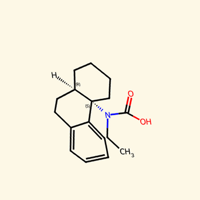 CCN(C(=O)O)[C@@]12CCCC[C@@H]1CCc1ccccc12